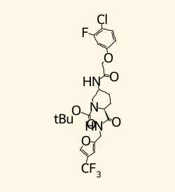 CC(C)(C)OC(=O)N1CC(NC(=O)COc2ccc(Cl)c(F)c2)CC[C@H]1C(=O)NCc1cc(C(F)(F)F)co1